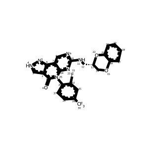 O=c1c2c[nH]nc2c2cnc(NC[C@H]3COc4ccccc4O3)nc2n1-c1ccc(C(F)(F)F)cc1F